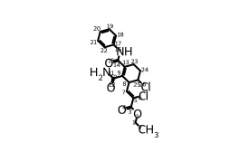 CCOC(=O)C(Cl)=CC1C(C(N)=O)=C(C(=O)Nc2ccccc2)CCC1Cl